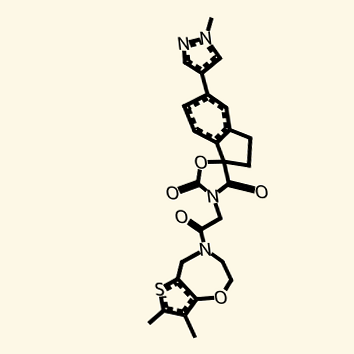 Cc1sc2c(c1C)OCCN(C(=O)CN1C(=O)OC3(CCc4cc(-c5cnn(C)c5)ccc43)C1=O)C2